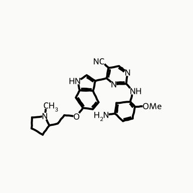 COc1ccc(N)cc1Nc1ncc(C#N)c(-c2c[nH]c3cc(OCCC4CCCN4C)ccc23)n1